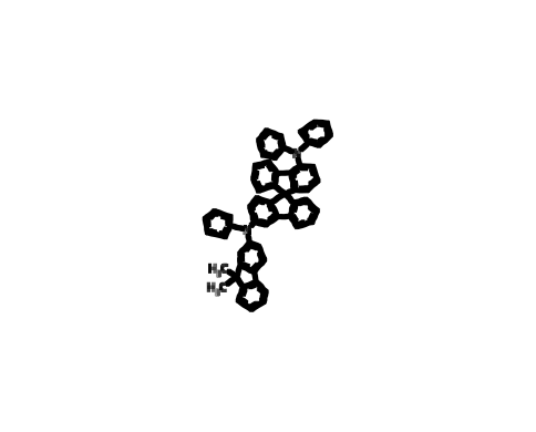 CC1(C)c2ccccc2-c2ccc(N(c3ccccc3)c3ccc4c(c3)-c3ccccc3C43c4ccccc4-c4c(N(c5ccccc5)c5ccccc5)cccc43)cc21